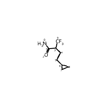 NC(=O)C(CCC1CC1)C(F)(F)F